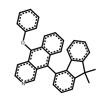 CC1(C)c2ccccc2-c2c(-c3c4ccccc4c(Oc4ccccc4)c4ccncc34)cccc21